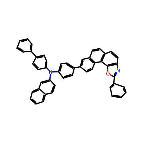 c1ccc(-c2ccc(N(c3ccc(-c4ccc5c(ccc6ccc7nc(-c8ccccc8)oc7c65)c4)cc3)c3ccc4ccccc4c3)cc2)cc1